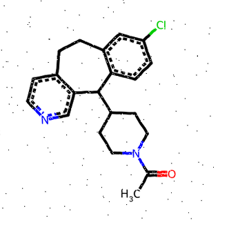 CC(=O)N1CCC(C2c3ccc(Cl)cc3CCc3ccncc32)CC1